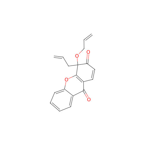 C=CCOC1(CC=C)C(=O)C=Cc2c1oc1ccccc1c2=O